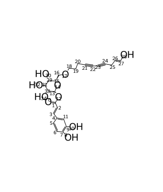 O=C(C=Cc1ccc(O)c(O)c1)O[C@@H]1O[C@H](COCCCC#CC#CCC=CO)[C@@H](O)[C@H](O)[C@H]1O